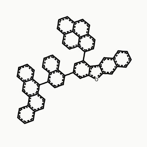 c1ccc2cc3c(cc2c1)oc1cc(-c2ccc(-c4c5ccccc5cc5c4ccc4ccccc45)c4ccccc24)cc(-c2ccc4ccc5cccc6ccc2c4c56)c13